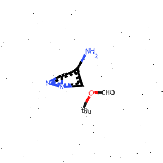 CC(C)(C)OC=O.Nc1cn2nc1-2